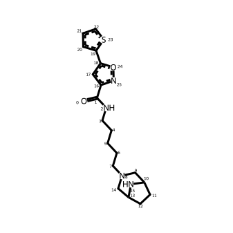 O=C(NCCCCCN1CC2CCC(C1)N2)c1cc(-c2cccs2)on1